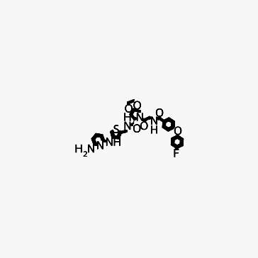 Nc1cccc(Nc2csc(CNC(=O)[C@@H]3CC4(CN3C(=O)CNC(=O)c3ccc(Oc5ccc(F)cc5)cc3)OCCO4)c2)n1